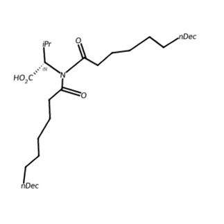 CCCCCCCCCCCCCCCC(=O)N(C(=O)CCCCCCCCCCCCCCC)[C@H](C(=O)O)C(C)C